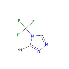 [2H]c1nncn1C(F)(F)F